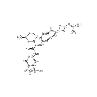 C[C@H]1CC[C@H](c2ccc3sc(C4CC(C=[N+](C)C)C4)nc3c2)N(C(=O)C(=O)Nc2cnc3o[nH]c(=O)c3c2)C1